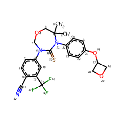 CC1(C)COCN(c2ccc(C#N)c(C(F)(F)F)c2)C(=S)N1c1ccc(OC2COC2)cc1